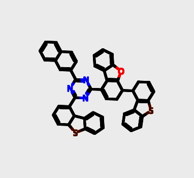 C1=CC2Sc3ccccc3C2C(c2nc(C3=CCC(C4CC=Cc5sc6ccccc6c54)c4oc5ccccc5c43)nc(-c3ccc4ccccc4c3)n2)=C1